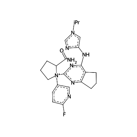 CC(C)n1cnc(Nc2nc([N+]3(c4ccc(F)nc4)CCCC3C(N)=O)nc3c2CCC3)c1